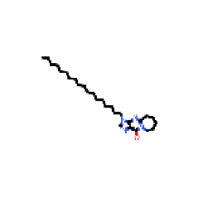 CCCCCCCCCCCCCCCCCCn1cnc2c(=O)n3c(nc21)CCCCC3